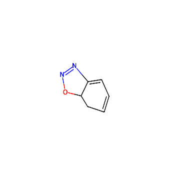 C1=CCC2ON=NC2=C1